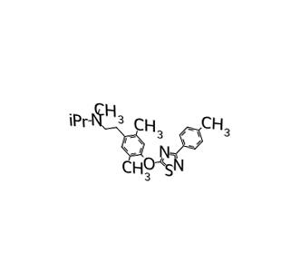 Cc1ccc(-c2nsc(Oc3cc(C)c(CCN(C)C(C)C)cc3C)n2)cc1